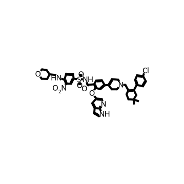 CC1(C)CCC(CN2CC=C(c3ccc(C(=O)NS(=O)(=O)c4ccc(NCC5CCOCC5)c([N+](=O)[O-])c4)c(Oc4cnc5[nH]ccc5c4)c3)CC2)=C(c2ccc(Cl)cc2)C1